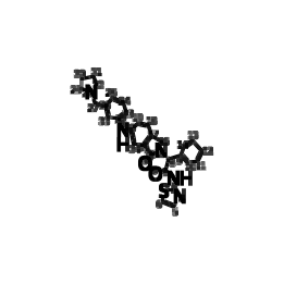 O=C(Nc1nccs1)[C@@H](c1ccccc1)N1Cc2ccc(Nc3cccc(CN4CCCC4)c3)cc2C1=O